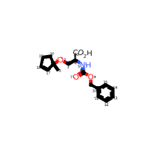 CC1(OC[C@H](NC(=O)OCc2ccccc2)C(=O)O)CCCC1